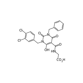 O=C(O)CNC(=O)c1c(O)n(Cc2ccc(Cl)c(Cl)c2)c(=O)n(Cc2ccccc2)c1=O